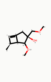 COC[C@@]1(O)CC2=B[C@H](C)C2C1OC